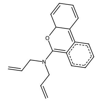 C=CCN(CC=C)C1=c2ccccc2=C2C=CC=CC2O1